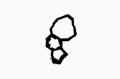 [CH]1C=Cc2c1ccc1c2CCCCCCCC1